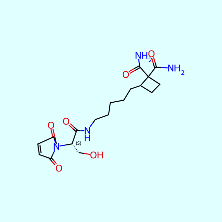 NC(=O)C1(C(N)=O)CCC1CCCCCNC(=O)[C@H](CO)N1C(=O)C=CC1=O